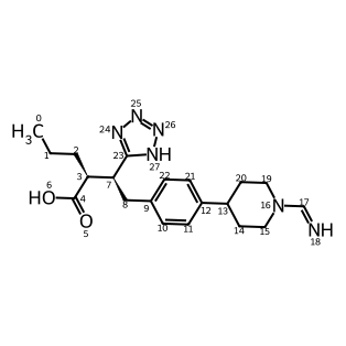 CCC[C@H](C(=O)O)[C@H](Cc1ccc(C2CCN(C=N)CC2)cc1)c1nnn[nH]1